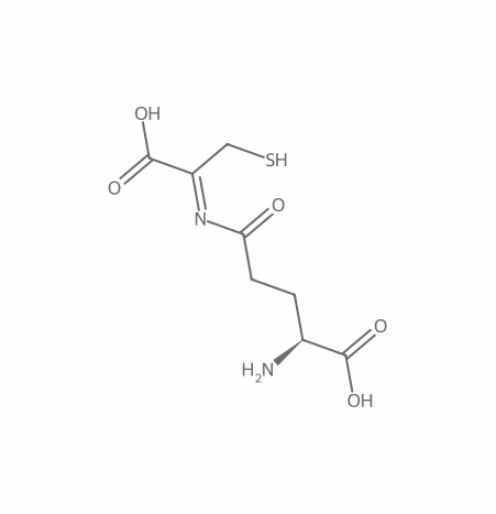 N[C@@H](CCC(=O)/N=C(\CS)C(=O)O)C(=O)O